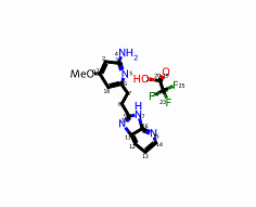 COc1cc(N)nc(CCc2nc3cccnc3[nH]2)c1.O=C(O)C(F)(F)F